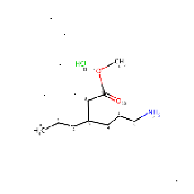 CCCC(CCCN)CC(=O)OC.Cl